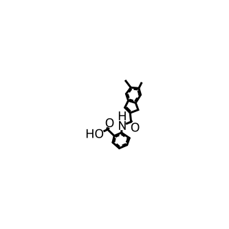 Cc1cc2c(cc1C)CC(C(=O)Nc1ccccc1C(=O)O)=C2